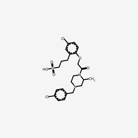 CC1CN(Cc2ccc(Cl)cc2)CCN1C(=O)COc1ccc(Cl)cc1CCCS(=O)(=O)O